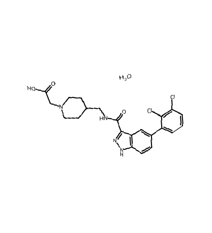 O.O=C(O)CN1CCC(CNC(=O)c2n[nH]c3ccc(-c4cccc(Cl)c4Cl)cc23)CC1